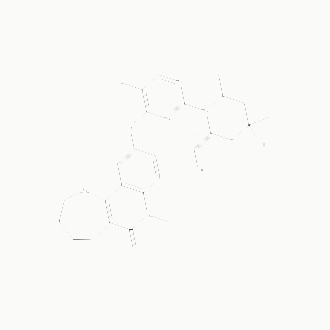 CC1CC(C)(O)C/C(=C\O)N1c1ncc(Cl)c(Nc2ccc3c(c2)c2c(c(=O)n3C)OCCCN2)n1